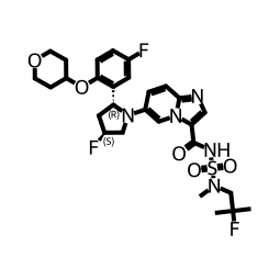 CN(CC(C)(C)F)S(=O)(=O)NC(=O)c1cnc2ccc(N3C[C@@H](F)C[C@@H]3c3cc(F)ccc3OC3CCOCC3)cn12